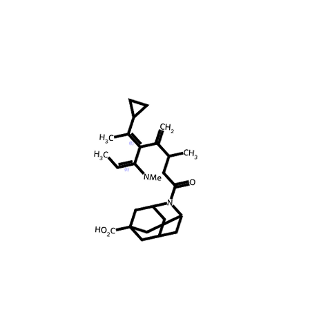 C=C(C(/C(=C\C)NC)=C(/C)C1CC1)C(C)CC(=O)N1C2CC3CC1CC(C(=O)O)(C3)C2